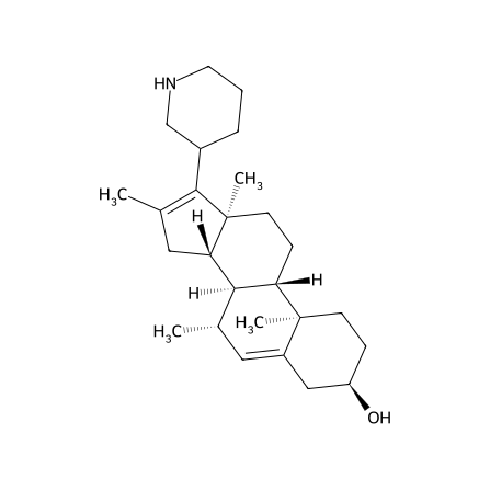 CC1=C(C2CCCNC2)[C@@]2(C)CC[C@H]3[C@@H]([C@@H](C)C=C4C[C@H](O)CC[C@@]43C)[C@@H]2C1